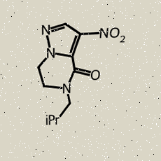 CC(C)CN1CCn2ncc([N+](=O)[O-])c2C1=O